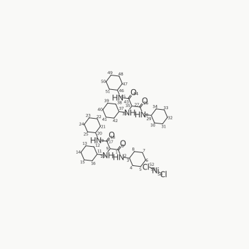 O=C(NC1CCCCC1)C(NC1CCCCC1)C(=O)NC1CCCCC1.O=C(NC1CCCCC1)C(NC1CCCCC1)C(=O)NC1CCCCC1.[Cl][Ni][Cl]